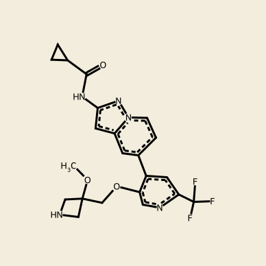 COC1(COc2cnc(C(F)(F)F)cc2-c2ccn3nc(NC(=O)C4CC4)cc3c2)CNC1